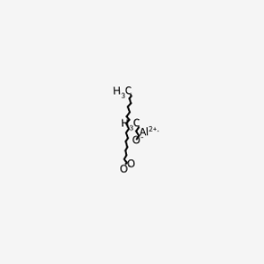 CCCCCCCCCCCCCCCCCC(=O)[O-].CCCC[O-].[Al+2]